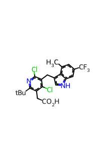 Cc1cc(C(F)(F)F)cc2[nH]cc(Cc3c(Cl)nc(C(C)(C)C)c(CC(=O)O)c3Cl)c12